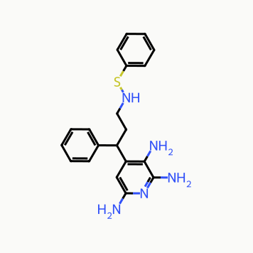 Nc1cc(C(CCNSc2ccccc2)c2ccccc2)c(N)c(N)n1